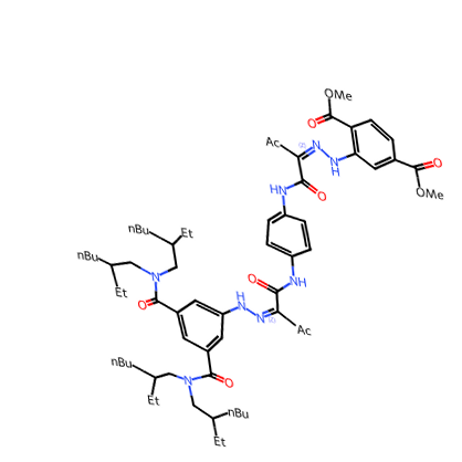 CCCCC(CC)CN(CC(CC)CCCC)C(=O)c1cc(N/N=C(/C(C)=O)C(=O)Nc2ccc(NC(=O)/C(=N\Nc3cc(C(=O)OC)ccc3C(=O)OC)C(C)=O)cc2)cc(C(=O)N(CC(CC)CCCC)CC(CC)CCCC)c1